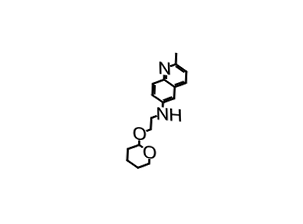 Cc1ccc2cc(NCCOC3CCCCO3)ccc2n1